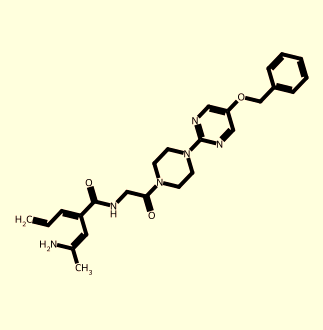 C=C/C=C(\C=C(\C)N)C(=O)NCC(=O)N1CCN(c2ncc(OCc3ccccc3)cn2)CC1